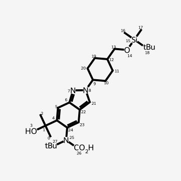 CC(C)(O)c1cc2nn(C3CCC(CO[Si](C)(C)C(C)(C)C)CC3)cc2cc1N(C(=O)O)C(C)(C)C